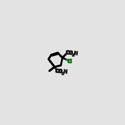 CC1(C(=O)O)CC=CC(Cl)(C(=O)O)C1